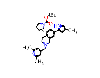 Cc1c[nH]c(-c2cc3c(c([C@@H]4CCCN4C(=O)OC(C)(C)C)c2)CCN(Cc2cc(C)nc(C)c2)C3)c1